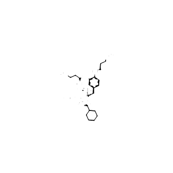 CC(C)CCC(=O)Oc1ccc(C[C@](NC(C)C)(OC(=O)C2CCCCC2)C(=O)O)cc1OC(=O)CCC(C)C